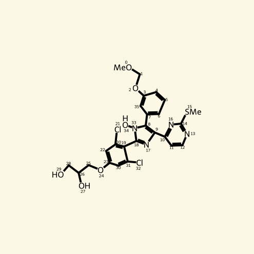 COCOc1cccc(-c2c(-c3ccnc(SC)n3)nc(-c3c(Cl)cc(OCC(O)CO)cc3Cl)n2O)c1